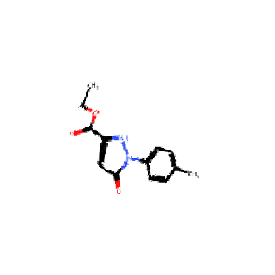 CCOC(=O)c1cc(=O)n(-c2ccc(C)cc2)[nH]1